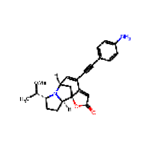 COC(C)[C@H]1CC[C@H]2N1[C@@H]1C=C(C#Cc3ccc(N)cc3)C3=CC(=O)O[C@@]32C1